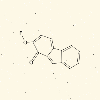 O=C1C(OF)=CC=C2C1=Cc1ccccc12